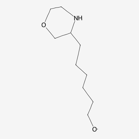 [O]CCCCCCC1COCCN1